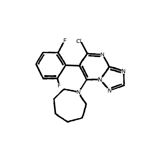 Fc1cccc(F)c1-c1c(Cl)nc2ncnn2c1N1CCCCCC1